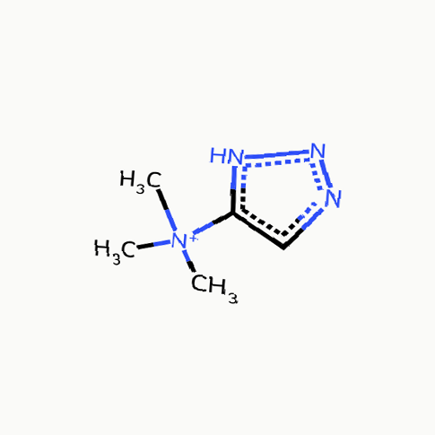 C[N+](C)(C)c1cnn[nH]1